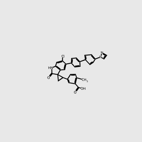 Cc1ccc(C2CC23C(=O)Nc2cc(Cl)c(-c4ccc(-c5ccc(N6C=C=N6)cc5)cc4)cc23)cc1C(=O)O